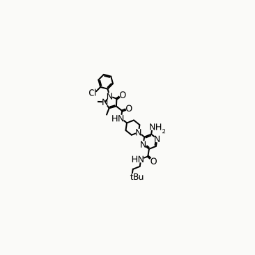 Cc1c(C(=O)NC2CCN(c3nc(C(=O)NCCC(C)(C)C)cnc3N)CC2)c(=O)n(-c2ccccc2Cl)n1C